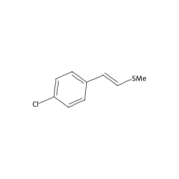 CSC=Cc1ccc(Cl)cc1